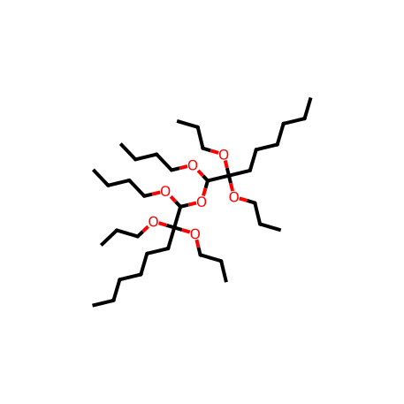 CCCCCCC(OCCC)(OCCC)C(OCCCC)OC(OCCCC)C(CCCCCC)(OCCC)OCCC